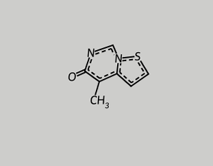 Cc1c(=O)ncn2sccc12